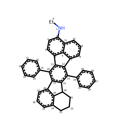 CCNc1ccc2c3c(cccc13)-c1c-2c(-c2ccccc2)c2c(c1-c1ccccc1)C1CCCc3cccc-2c31